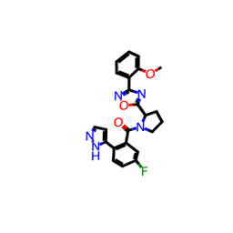 COc1ccccc1-c1noc(C2CCCN2C(=O)c2cc(F)ccc2-c2ccn[nH]2)n1